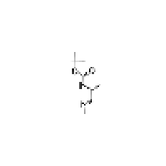 C/N=C/[C@H](C)NC(=O)OC(C)(C)C